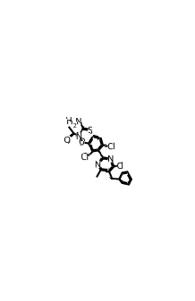 CC(=O)N(Oc1ccc(Cl)c(-c2nc(C)c(Cc3ccccc3)c(Cl)n2)c1Cl)C(N)=S